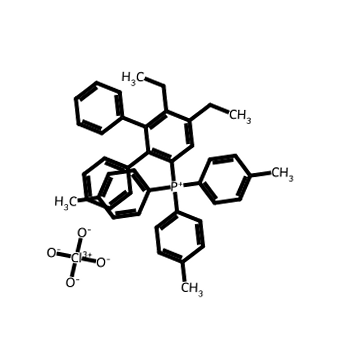 CCc1cc([P+](c2ccc(C)cc2)(c2ccc(C)cc2)c2ccc(C)cc2)c(-c2ccccc2)c(-c2ccccc2)c1CC.[O-][Cl+3]([O-])([O-])[O-]